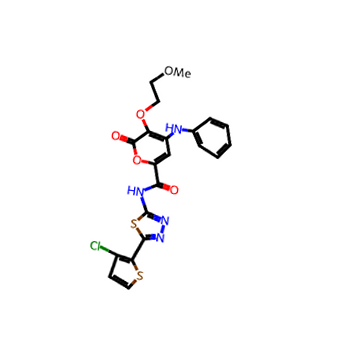 COCCOc1c(Nc2ccccc2)cc(C(=O)Nc2nnc(-c3sccc3Cl)s2)oc1=O